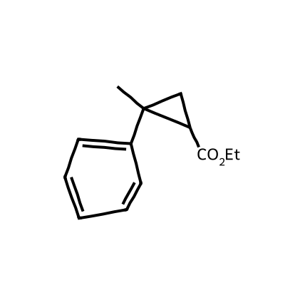 CCOC(=O)C1CC1(C)c1ccccc1